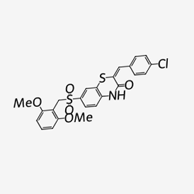 COc1cccc(OC)c1CS(=O)(=O)c1ccc2c(c1)S/C(=C/c1ccc(Cl)cc1)C(=O)N2